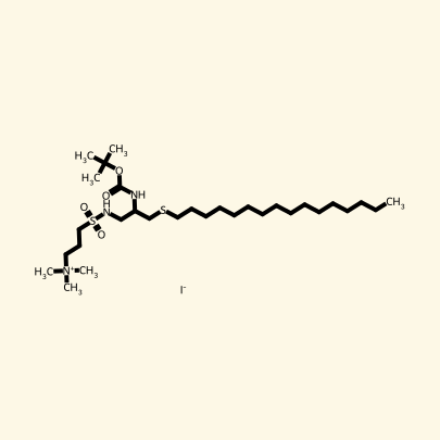 CCCCCCCCCCCCCCCCSCC(CNS(=O)(=O)CCC[N+](C)(C)C)NC(=O)OC(C)(C)C.[I-]